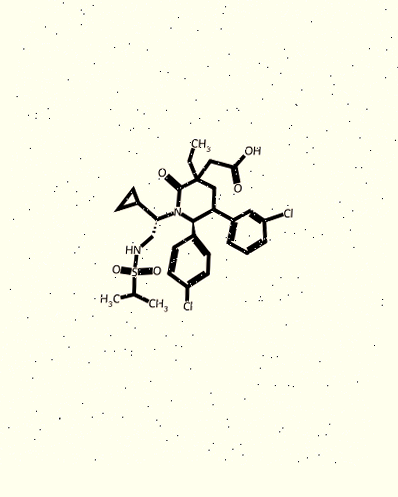 CCC1(CC(=O)O)CC(c2cccc(Cl)c2)[C@@H](c2ccc(Cl)cc2)N([C@H](CNS(=O)(=O)C(C)C)C2CC2)C1=O